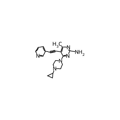 Cc1nc(N)nc(N2CCN(C3CC3)CC2)c1C#Cc1cccnc1